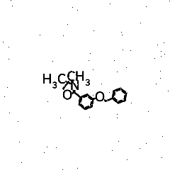 CC1(C)COC(c2cccc(OCc3ccccc3)c2)=N1